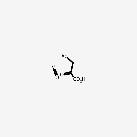 CC(=O)CC(=O)C(=O)O.[O]=[V]